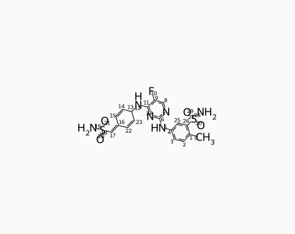 Cc1ccc(Nc2ncc(F)c(NC3C=CC(=CS(N)(=O)=O)C=C3)n2)cc1S(N)(=O)=O